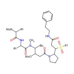 CCC(C)C(C(CC(=O)N1CCCC1C(CC(=O)NCCc1ccccc1)S(=O)(=O)CC)OC)N(C)C(=O)C(NC(=O)C(NC)C(C)C)C(C)C